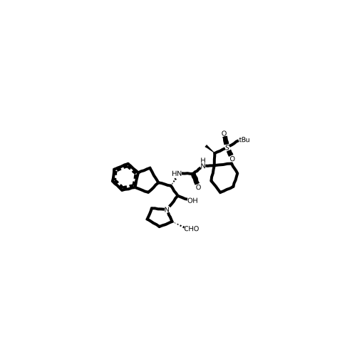 C[C@H](C1(NC(=O)N[C@@H](C2Cc3ccccc3C2)C(O)N2CCC[C@H]2C=O)CCCCC1)S(=O)(=O)C(C)(C)C